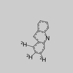 [2H]c1cc2nc3ccccc3cc2c([2H])c1[2H]